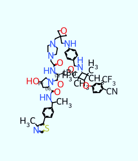 Cc1ncsc1-c1ccc(C(C)NC(=O)[C@@H]2C[C@@H](O)CN2C(=O)[C@@H](NC(=O)CN2CCN(CC3(CNc4ccc(C(=O)N[C@H]5C(C)(C)[C@H](Oc6ccc(C#N)c(C(F)(F)F)c6)C5(C)C)cc4)COC3)CC2)C(C)(C)C)cc1